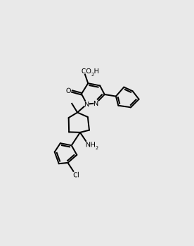 CC1(n2nc(-c3ccccc3)cc(C(=O)O)c2=O)CCC(N)(c2cccc(Cl)c2)CC1